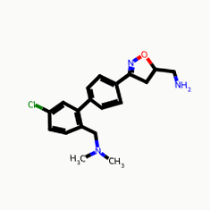 CN(C)Cc1ccc(Cl)cc1-c1ccc(C2=NOC(CN)C2)cc1